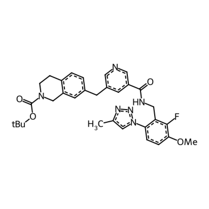 COc1ccc(-n2cc(C)nn2)c(CNC(=O)c2cncc(Cc3ccc4c(c3)CN(C(=O)OC(C)(C)C)CC4)c2)c1F